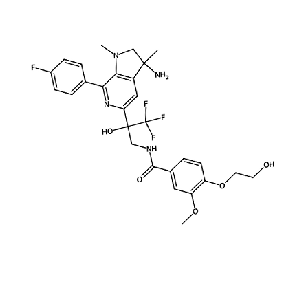 COc1cc(C(=O)NCC(O)(c2cc3c(c(-c4ccc(F)cc4)n2)N(C)CC3(C)N)C(F)(F)F)ccc1OCCO